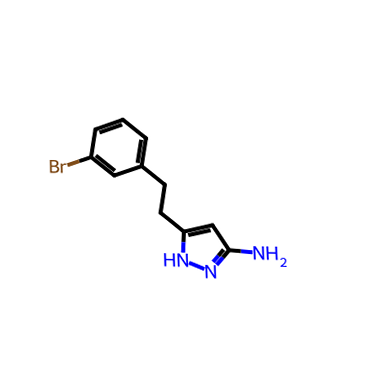 Nc1cc(CCc2cccc(Br)c2)[nH]n1